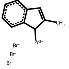 CC1=Cc2ccccc2[CH]1[Zr+3].[Br-].[Br-].[Br-]